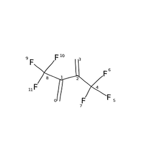 C=C(C(=C)C(F)(F)F)C(F)(F)F